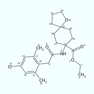 CCOC(=O)C1(NC(=O)Cc2c(C)cc(Cl)cc2C)CCC2(CCCO2)CC1